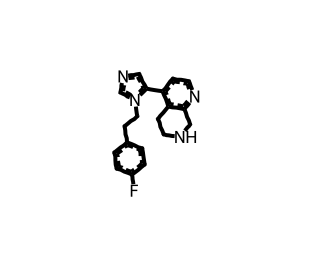 Fc1ccc(CCn2cncc2-c2ccnc3c2CCNC3)cc1